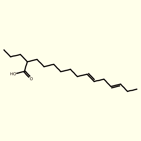 CCC=CCC=CCCCCCCC(CCC)C(=O)O